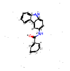 O=C(Nc1ccc2[nH]c3ccccc3c2c1)c1ccccc1